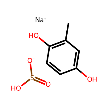 Cc1cc(O)ccc1O.O=S([O-])O.[Na+]